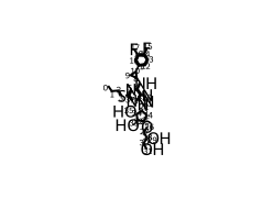 CCCSc1nc(N[C@@H]2C[C@H]2c2ccc(F)c(F)c2)c2nnn([C@@H]3C[C@H](OCC(O)CO)[C@@H](O)C3O)c2n1